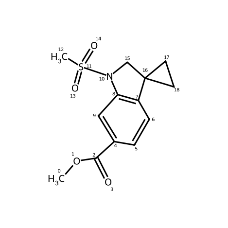 COC(=O)c1ccc2c(c1)N(S(C)(=O)=O)CC21CC1